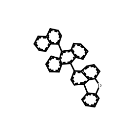 c1ccc2c(c1)Oc1cccc3c(-c4c5ccccc5c(-c5cccc6ccccc56)c5ccccc45)ccc-2c13